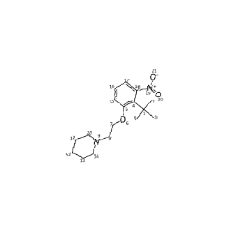 CC(C)(C)c1c(OCCN2CCCCC2)cccc1[N+](=O)[O-]